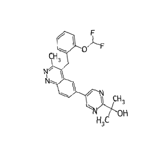 Cc1nnc2ccc(-c3cnc(C(C)(C)O)nc3)cc2c1Cc1ccccc1OC(F)F